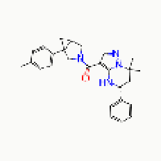 Cc1ccc(C23CC2CN(C(=O)c2cnn4c2N[C@@H](c2ccccc2)CC4(C)C)C3)cc1